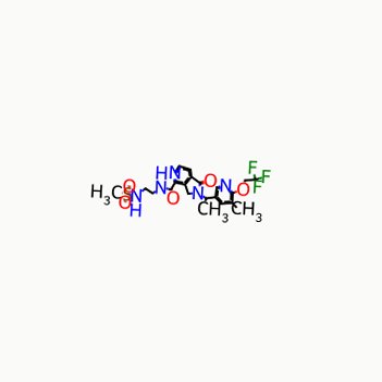 Cc1cc(C(C)N2Cc3c(ccnc3C(=O)NCCNS(C)(=O)=O)C2=O)cnc1OCC(F)(F)F